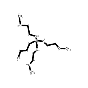 COCCO[Si](CCCO)(OCCOC)OCCOC